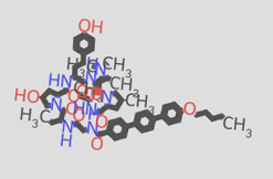 CCCCCOc1ccc(-c2ccc(-c3ccc(C(=O)NCC(=O)NC(CC)C(=O)N4C[C@H](O)CC4C(=O)NC(CCc4ccc(O)cc4)C(=O)NC(CC)C(=O)N4C[C@H](C)CC4C(=O)NC(CC)OCCN(C)C)cc3)cc2)cc1